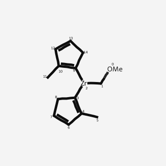 CO[CH2][Zr]([C]1=C(C)C=CC1)[C]1=C(C)C=CC1